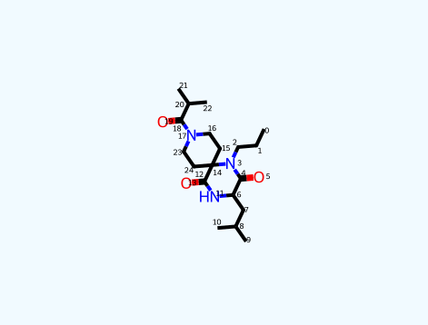 CCCN1C(=O)C(CC(C)C)NC(=O)C12CCN(C(=O)C(C)C)CC2